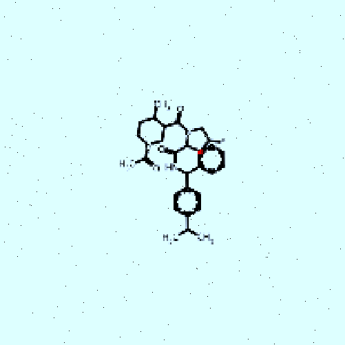 CC(=O)N1CCC(C)C(C(=O)N2CC(F)CC2C(=O)NC(c2ccccc2)c2ccc(C(C)C)cc2)C1